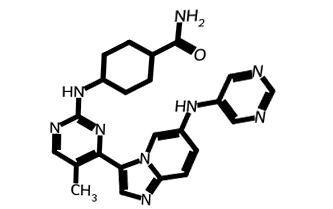 Cc1cnc(NC2CCC(C(N)=O)CC2)nc1-c1cnc2ccc(Nc3cncnc3)cn12